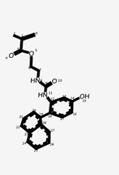 C=C(C)C(=O)OCCNC(=O)Nc1cc(O)ccc1-c1cccc2ccccc12